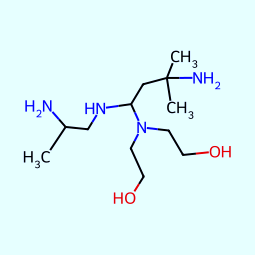 CC(N)CNC(CC(C)(C)N)N(CCO)CCO